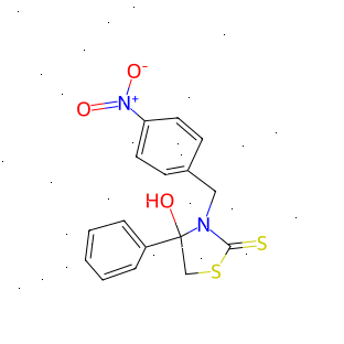 O=[N+]([O-])c1ccc(CN2C(=S)SCC2(O)c2ccccc2)cc1